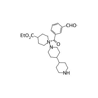 CCOC(=O)C1CC[N+](C(=O)c2cccc([C]=O)c2)(N2CCC(C3CCNCC3)CC2)CC1